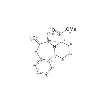 C=C1Cc2ccccc2C2CCC[C@@H](C(=O)OC)N2C1=O